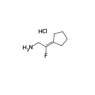 Cl.NCC(F)=C1CCCC1